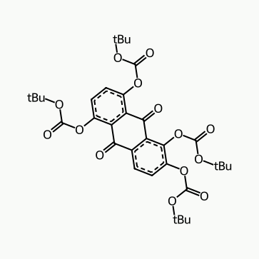 CC(C)(C)OC(=O)Oc1ccc2c(c1OC(=O)OC(C)(C)C)C(=O)c1c(OC(=O)OC(C)(C)C)ccc(OC(=O)OC(C)(C)C)c1C2=O